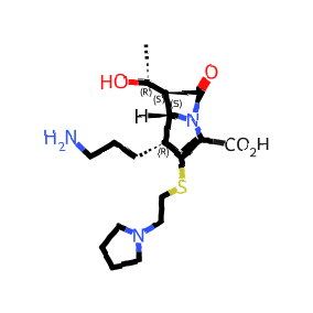 C[C@@H](O)[C@H]1C(=O)N2C(C(=O)O)=C(SCCN3CCCC3)[C@H](CCCN)[C@H]12